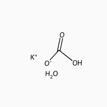 O.O=C([O-])O.[K+]